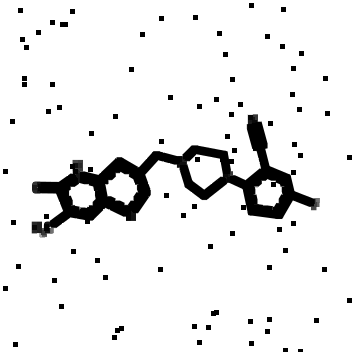 Cc1cc2ncc(CN3CCN(c4ccc(F)cc4C#N)CC3)cc2[nH]c1=O